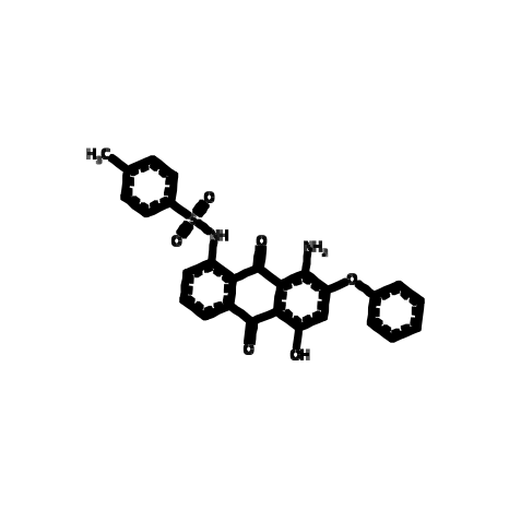 Cc1ccc(S(=O)(=O)Nc2cccc3c2C(=O)c2c(N)c(Oc4ccccc4)cc(O)c2C3=O)cc1